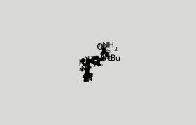 Cc1cc(-c2ncnc3c2cc(-c2cnn(C)c2)n3C)ccc1CN1C=C(C(N)=O)SC1C(C)(C)C